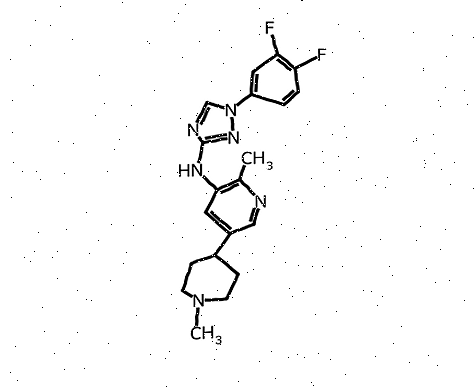 Cc1ncc(C2CCN(C)CC2)cc1Nc1ncn(-c2ccc(F)c(F)c2)n1